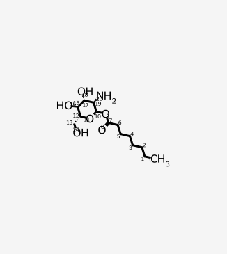 CCCCCCCC(=O)OC1O[C@H](CO)[C@@H](O)[C@H](O)[C@H]1N